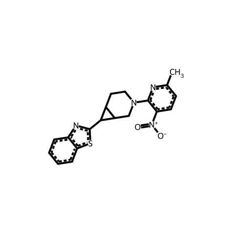 Cc1ccc([N+](=O)[O-])c(N2CCC3C(C2)C3c2nc3ccccc3s2)n1